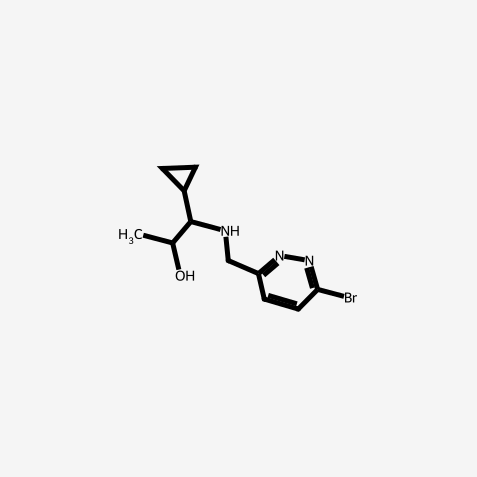 CC(O)C(NCc1ccc(Br)nn1)C1CC1